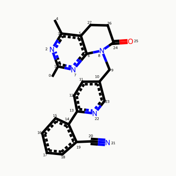 Cc1nc(C)c2c(n1)N(Cc1ccc(-c3ccccc3C#N)nc1)C(=O)CC2